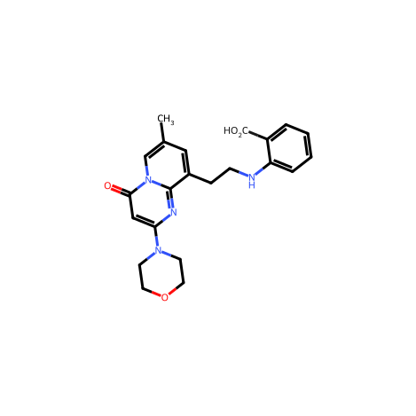 Cc1cc(CCNc2ccccc2C(=O)O)c2nc(N3CCOCC3)cc(=O)n2c1